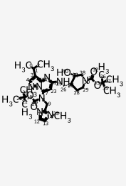 CC(C)c1cnn2c(N(Cc3nccn3C)C(=O)OC(C)(C)C)cc(NC[C@H]3CCN(C(=O)OC(C)(C)C)C[C@@H]3O)nc12